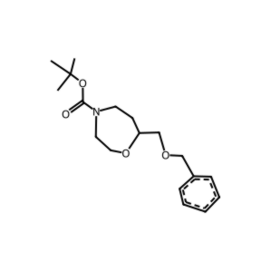 CC(C)(C)OC(=O)N1CCOC(COCc2ccccc2)CC1